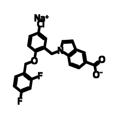 O=C([O-])c1ccc2c(ccn2Cc2cc(Cl)ccc2OCc2ccc(F)cc2F)c1.[Na+]